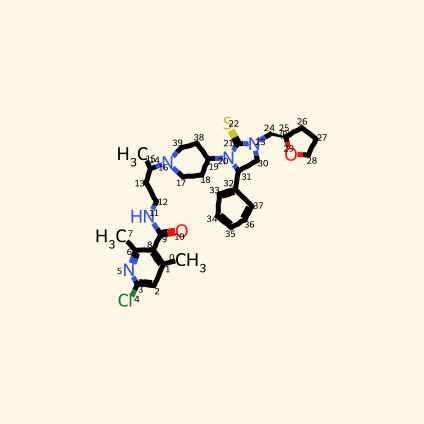 Cc1cc(Cl)nc(C)c1C(=O)NCCC(C)N1CCC(N2C(=S)N(C[C@H]3CCCO3)CC2c2ccccc2)CC1